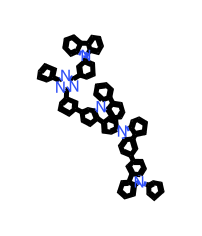 c1ccc(-c2nc(-c3cccc(-c4ccc(-c5ccc(-n6c7ccccc7c7cc(-c8ccc9c(c8)c8ccccc8n9-c8ccccc8)ccc76)cc5)c(-n5c6ccccc6c6ccccc65)c4)c3)nc(-c3cccc(-n4c5ccccc5c5ccccc54)c3)n2)cc1